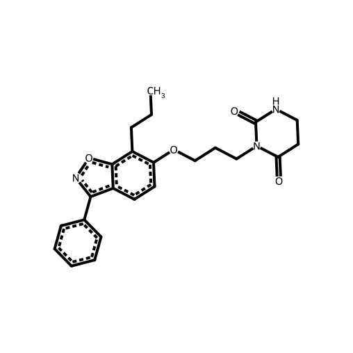 CCCc1c(OCCCN2C(=O)CCNC2=O)ccc2c(-c3ccccc3)noc12